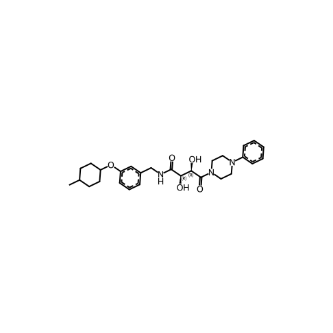 CC1CCC(Oc2cccc(CNC(=O)[C@H](O)[C@@H](O)C(=O)N3CCN(c4ccccc4)CC3)c2)CC1